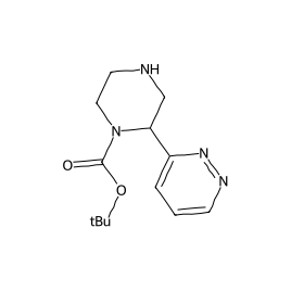 CC(C)(C)OC(=O)N1CCNCC1c1cccnn1